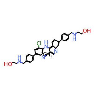 Cc1cc(-c2ccc(CNCCO)cc2)cc(Cl)c1Nc1c(C#N)cnc2cc(-c3ccc(CNCCO)cc3)ccc12